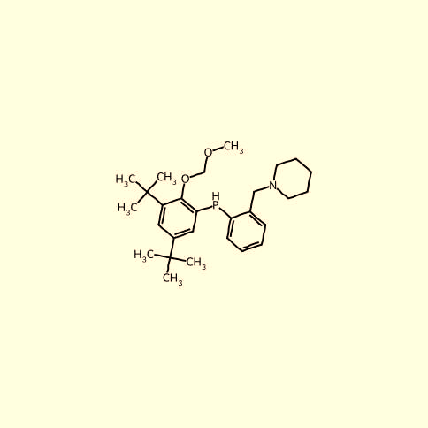 COCOc1c(Pc2ccccc2CN2CCCCC2)cc(C(C)(C)C)cc1C(C)(C)C